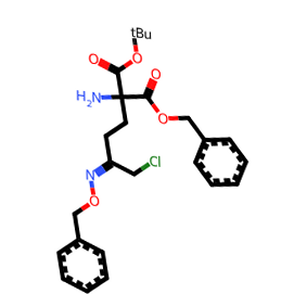 CC(C)(C)OC(=O)C(N)(CCC(CCl)=NOCc1ccccc1)C(=O)OCc1ccccc1